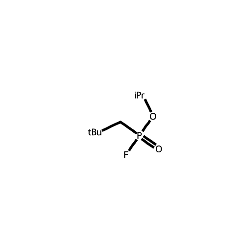 CC(C)OP(=O)(F)CC(C)(C)C